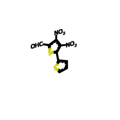 O=Cc1sc(-c2cccs2)c([N+](=O)[O-])c1[N+](=O)[O-]